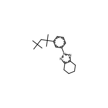 CC(C)(C)CC(C)(C)c1cccc(-n2nc3c(n2)CCCC3)c1